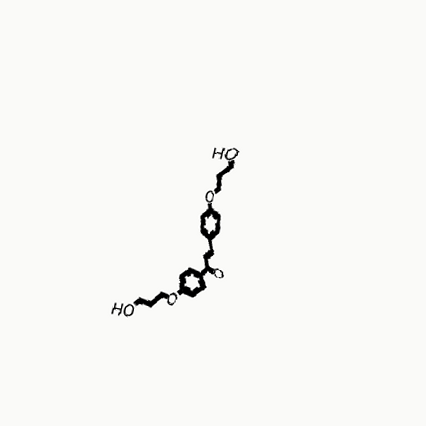 O=C(C=Cc1ccc(OCCCO)cc1)c1ccc(OCCCO)cc1